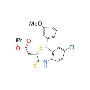 COc1cccc([C@H]2S[C@H](CC(=O)OC(C)C)C(=S)Nc3ccc(Cl)cc32)c1